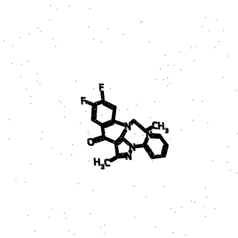 CCCn1c2cc(F)c(F)cc2c(=O)c2c(C)nn(-c3ccccn3)c21